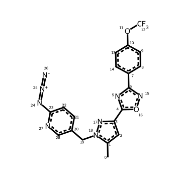 Cc1cc(-c2nc(-c3ccc(OC(F)(F)F)cc3)no2)nn1Cc1ccc(N=[N+]=[N-])nc1